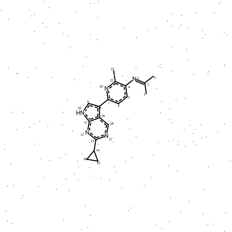 CC(C)=Nc1ccc(-c2c[nH]c3nc(C4CC4)ncc23)nc1C